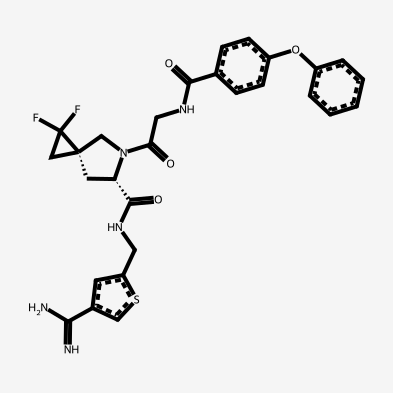 N=C(N)c1csc(CNC(=O)[C@@H]2C[C@]3(CN2C(=O)CNC(=O)c2ccc(Oc4ccccc4)cc2)CC3(F)F)c1